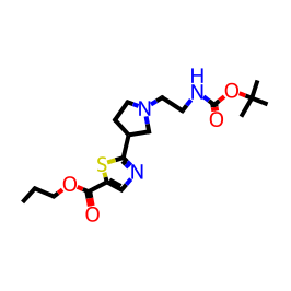 CCCOC(=O)c1cnc(C2CCN(CCNC(=O)OC(C)(C)C)C2)s1